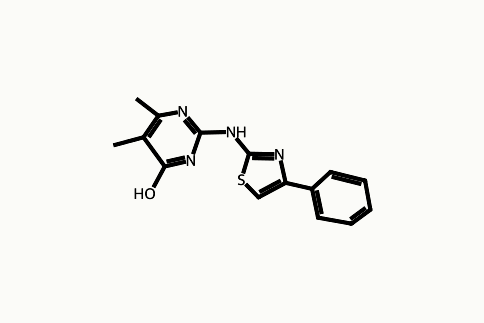 Cc1nc(Nc2nc(-c3ccccc3)cs2)nc(O)c1C